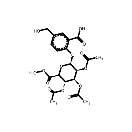 COC(=O)[C@H]1O[C@@H](Oc2ccc(CO)cc2C(=O)O)[C@@H](OC(C)=O)[C@@H](OC(C)=O)[C@@H]1OC(C)=O